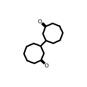 O=C1CCCCCC(C2CCCCCC(=O)C2)C1